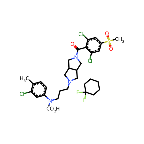 Cc1ccc(N(CCCN2CC3CN(C(=O)c4c(Cl)cc(S(C)(=O)=O)cc4Cl)CC3C2)C(=O)O)cc1Cl.FC1(F)CCCCC1